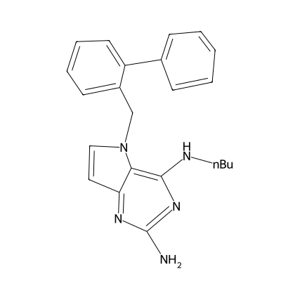 CCCCNc1nc(N)nc2ccn(Cc3ccccc3-c3ccccc3)c12